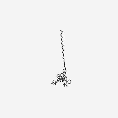 CCCCCCCCCCCCCCCCCCOCC(CNC(=O)N(C)C)OP(=O)([O-])OCC[N+](C)(C)C